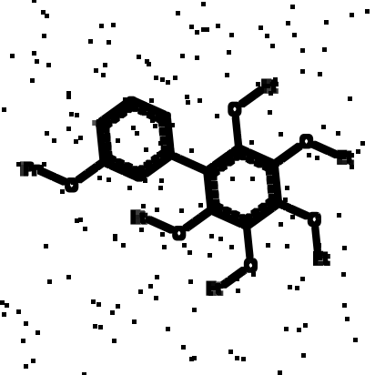 CCOc1c(OCC)c(OCC)c(-c2cc[c]c(OC(C)C)c2)c(OCC)c1OCC